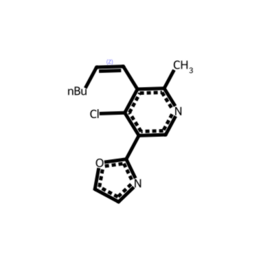 CCCC/C=C\c1c(C)ncc(-c2ncco2)c1Cl